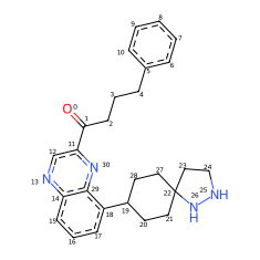 O=C(CCCc1ccccc1)c1cnc2cccc(C3CCC4(CCNN4)CC3)c2n1